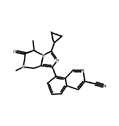 CC1C(=O)N(C)Cc2c(-c3cccc4cc(C#N)ncc34)nc(C3CC3)n21